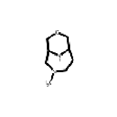 CN1CCC2COCC(C1)N2